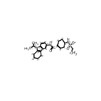 CCS(=O)(=O)N[C@H]1CC[C@H](C(=O)Nc2ccc3c(c2)c2c(n3C(C)C)CCCC2)CC1